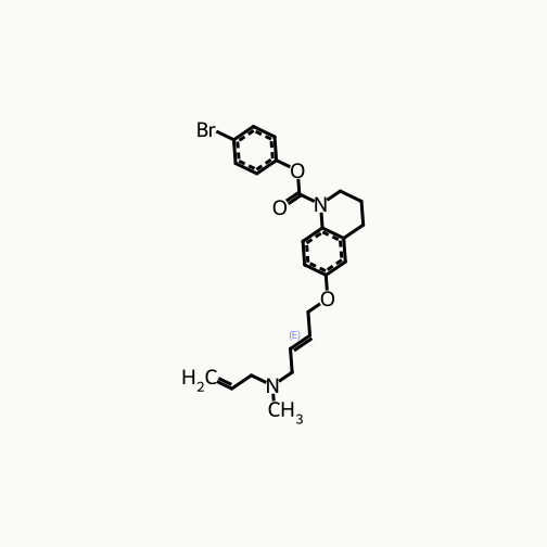 C=CCN(C)C/C=C/COc1ccc2c(c1)CCCN2C(=O)Oc1ccc(Br)cc1